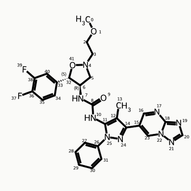 COCCN1C[C@@H](NC(=O)Nc2c(C)c(-c3cnc4ncnn4c3)nn2-c2ccccc2)[C@H](c2ccc(F)c(F)c2)O1